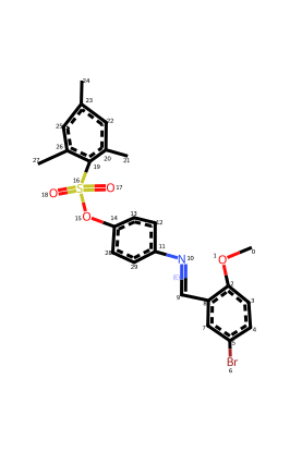 COc1ccc(Br)cc1/C=N/c1ccc(OS(=O)(=O)c2c(C)cc(C)cc2C)cc1